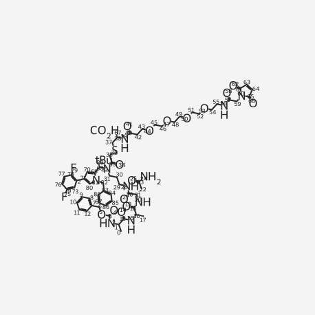 CC(NC(=O)OCc1ccccc1)C(=O)N[C@H](C)C(=O)N[C@@H](CC(N)=O)C(=O)NCCCN(C(=O)CSC[C@H](NC(=O)CCOCCOCCOCCOCCNC(=O)CN1C(=O)C=CC1=O)C(=O)O)[C@@H](c1cc(-c2cc(F)ccc2F)cn1Cc1ccccc1)C(C)(C)C